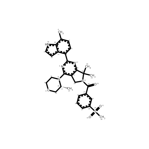 Cc1ccc(-c2nc(N3CCOC[C@H]3C)c3c(n2)C(C)(C)N(C(=O)c2cccc(S(C)(=O)=O)c2)C3)c2cc[nH]c12